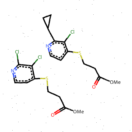 COC(=O)CCSc1ccnc(C2CC2)c1Cl.COC(=O)CCSc1ccnc(Cl)c1Cl